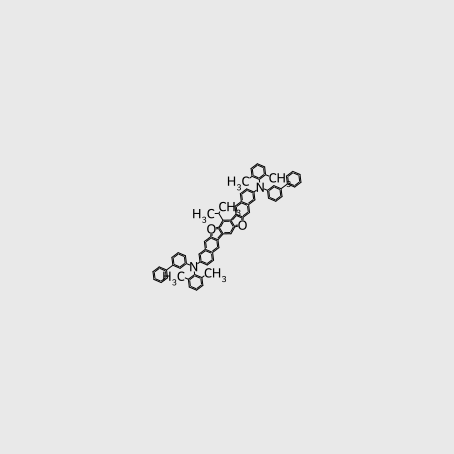 Cc1cccc(C)c1N(c1cccc(-c2ccccc2)c1)c1ccc2cc3c(cc2c1)oc1c(C(C)C)c2c(cc13)oc1cc3cc(N(c4cccc(-c5ccccc5)c4)c4c(C)cccc4C)ccc3cc12